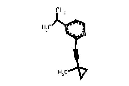 CC(C)c1ccnc(C#CC2(C)CC2)c1